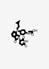 O=C(O)CNC1CCC(N(CCC2CC2)c2cccc3c2CN(C2CCC(=O)NC2=O)C3=O)CC1